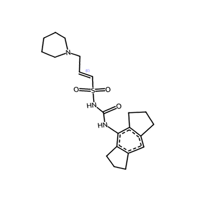 O=C(Nc1c2c(cc3c1CCC3)CCC2)NS(=O)(=O)/C=C/CN1CCCCC1